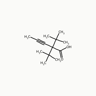 CC#CC(C(=O)O)(C(C)(C)C)C(C)(C)C